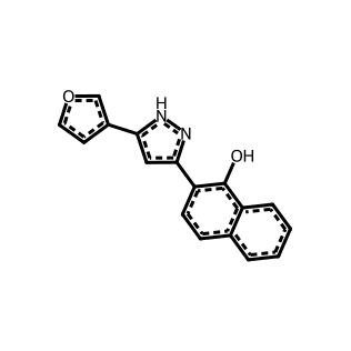 Oc1c(-c2cc(-c3ccoc3)[nH]n2)ccc2ccccc12